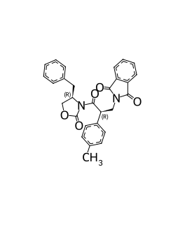 Cc1ccc([C@H](CN2C(=O)c3ccccc3C2=O)C(=O)N2C(=O)OC[C@H]2Cc2ccccc2)cc1